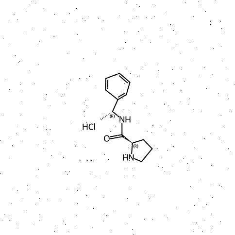 C[C@@H](NC(=O)[C@H]1CCCN1)c1ccccc1.Cl